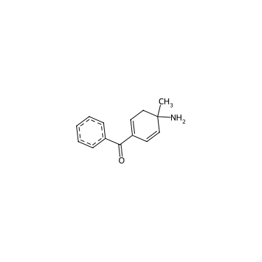 CC1(N)C=CC(C(=O)c2ccccc2)=CC1